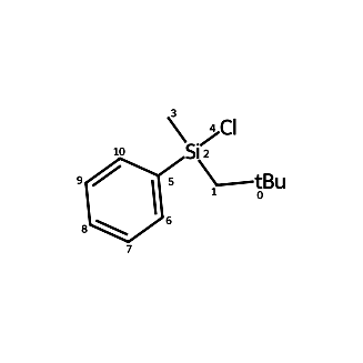 CC(C)(C)C[Si](C)(Cl)c1ccccc1